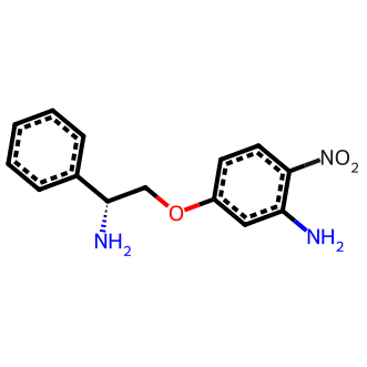 Nc1cc(OC[C@H](N)c2ccccc2)ccc1[N+](=O)[O-]